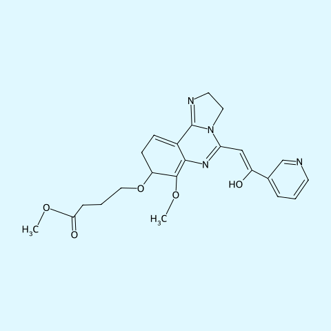 COC(=O)CCCOC1CC=C2C3=NCCN3C(/C=C(\O)c3cccnc3)=NC2=C1OC